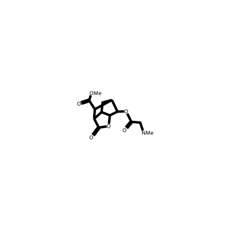 CNCC(=O)OC1C2CC3C1OC(=O)C3C2C(=O)OC